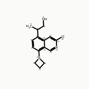 CC(CO)c1ccc(N2CCC2)c2cnc(Cl)cc12